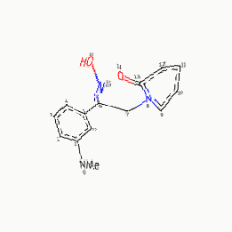 CNc1cccc(C(Cn2ccccc2=O)=NO)c1